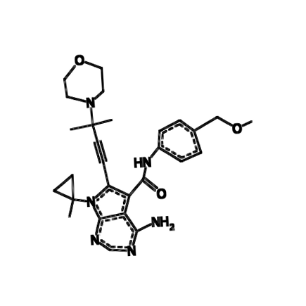 COCc1ccc(NC(=O)c2c(C#CC(C)(C)N3CCOCC3)n(C3(C)CC3)c3ncnc(N)c23)cc1